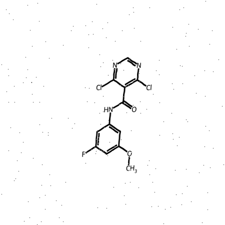 COc1cc(F)cc(NC(=O)c2c(Cl)ncnc2Cl)c1